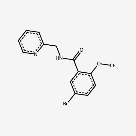 O=C(NCc1ccccn1)c1cc(Br)ccc1OC(F)(F)F